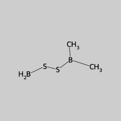 BSSB(C)C